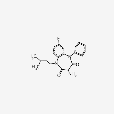 CC(C)CCN1C(=O)C(N)C(=O)N(c2ccccc2)c2cc(F)ccc21